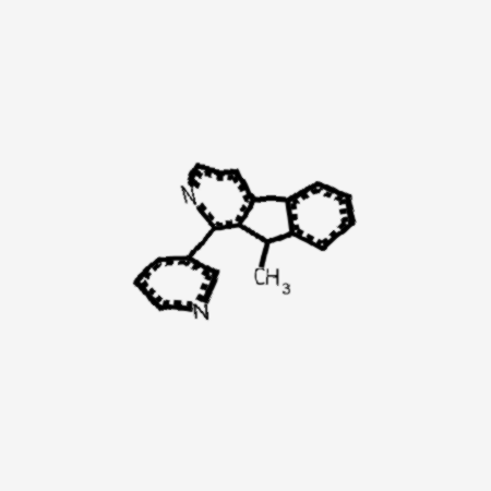 CC1c2ccccc2-c2ccnc(-c3cccnc3)c21